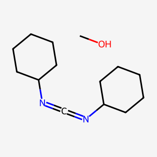 C(=NC1CCCCC1)=NC1CCCCC1.CO